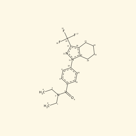 CCN(CC)C(=O)c1ccc(-n2nc(C(F)(F)F)c3c2CCCC3)cc1